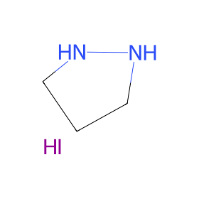 C1CNNC1.I